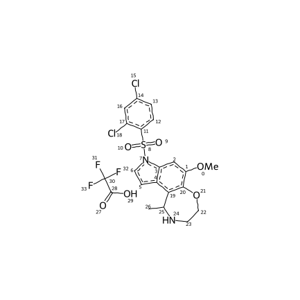 COc1cc2c(ccn2S(=O)(=O)c2ccc(Cl)cc2Cl)c2c1OCCNC2C.O=C(O)C(F)(F)F